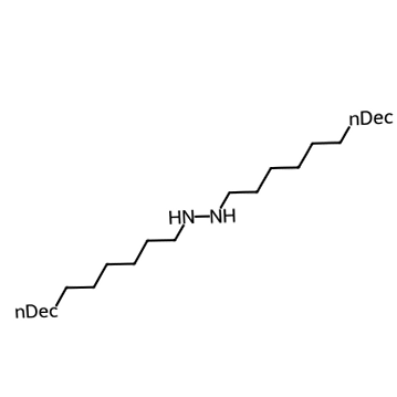 CCCCCCCCCCCCCCCCNNCCCCCCCCCCCCCCCC